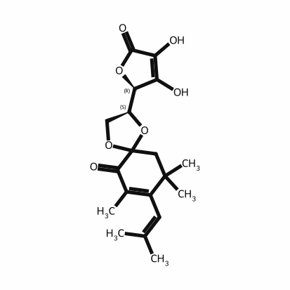 CC(C)=CC1=C(C)C(=O)C2(CC1(C)C)OC[C@@H]([C@H]1OC(=O)C(O)=C1O)O2